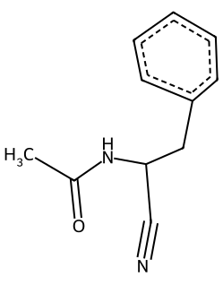 CC(=O)NC(C#N)Cc1ccccc1